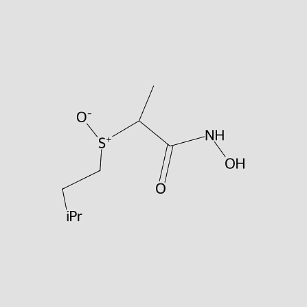 CC(C)CC[S+]([O-])C(C)C(=O)NO